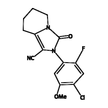 COc1cc(-n2c(C#N)c3n(c2=O)CCCC3)c(F)cc1Cl